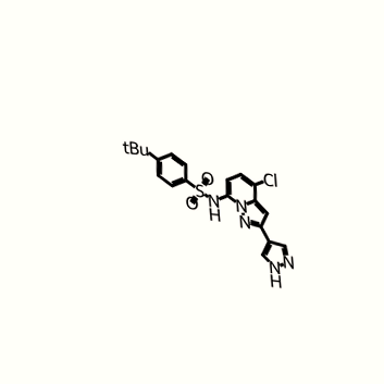 CC(C)(C)c1ccc(S(=O)(=O)Nc2ccc(Cl)c3cc(-c4cn[nH]c4)nn23)cc1